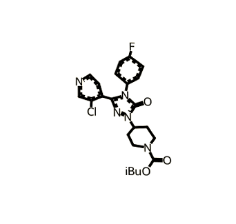 CC(C)COC(=O)N1CCC(n2nc(-c3ccncc3Cl)n(-c3ccc(F)cc3)c2=O)CC1